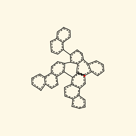 c1ccc2c(-c3ccc4c(ccc5ccccc54)c3-c3ccc4c(ccc5ccccc54)c3-c3cccc4c3ccc3ccccc34)cccc2c1